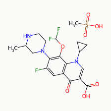 CC1CN(c2c(F)cc3c(=O)c(C(=O)O)cn(C4CC4)c3c2OC(F)F)CCN1.CS(=O)(=O)O